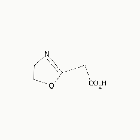 O=C(O)CC1=NCCO1